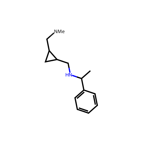 CNCC1CC1CNC(C)c1ccccc1